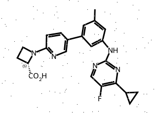 Cc1cc(Nc2ncc(F)c(C3CC3)n2)cc(-c2ccc(N3CC[C@H]3C(=O)O)nc2)c1